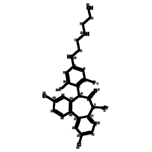 CCCN1C(=O)N(c2c(F)cc(NCCNCCO)cc2F)c2cc(Cl)ccc2-c2cc(Cl)cnc21